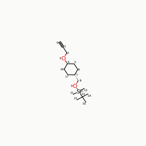 C#CCO[C@H]1CC[C@H](CO[Si](C)(C)C(C)(C)C)CC1